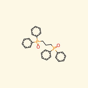 O=P(CCCP(=O)(c1ccccc1)c1ccccc1)(c1ccccc1)c1ccccc1